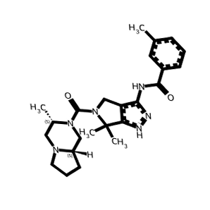 Cc1cccc(C(=O)Nc2n[nH]c3c2CN(C(=O)N2C[C@@H]4CCCN4C[C@@H]2C)C3(C)C)c1